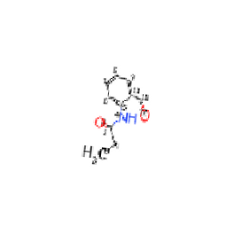 CCC(=O)Nc1ccccc1C=O